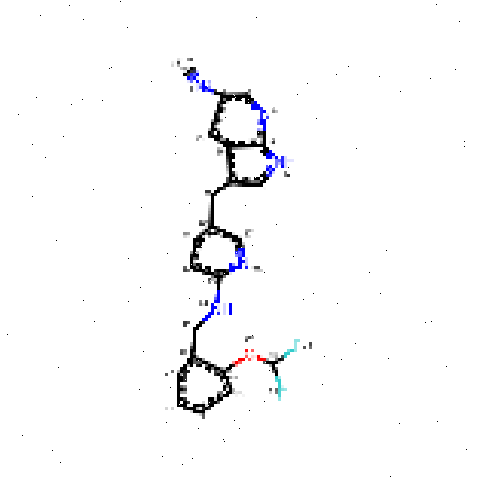 [C-]#[N+]c1cnc2[nH]cc(Cc3ccc(NCc4ccccc4OC(F)F)nc3)c2c1